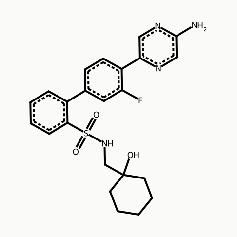 Nc1cnc(-c2ccc(-c3ccccc3S(=O)(=O)NCC3(O)CCCCC3)cc2F)cn1